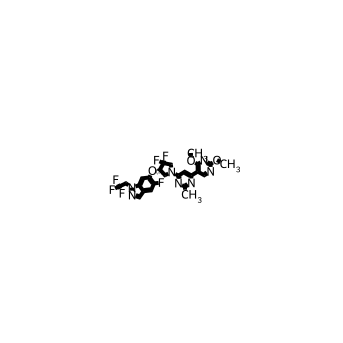 COc1ncc(-c2cc(N3C[C@H](Oc4cc5c(cnn5CC(F)(F)F)cc4F)C(F)(F)C3)nc(C)n2)c(OC)n1